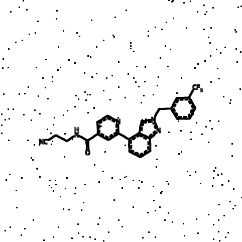 N#CCCNC(=O)c1ccnc(-c2cccc3nn(Cc4cccc(C(F)(F)F)c4)cc23)c1